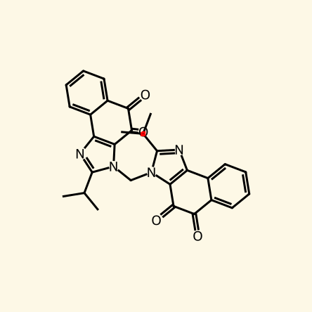 CC(C)c1nc2c(n1Cn1c(C(C)C)nc3c1C(=O)C(=O)c1ccccc1-3)C(=O)C(=O)c1ccccc1-2